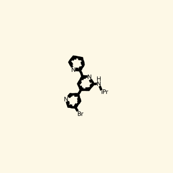 CC(C)Nc1cc(-c2cncc(Br)c2)cc(-c2ccccn2)n1